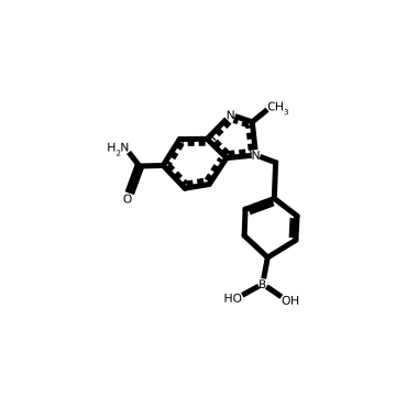 Cc1nc2cc(C(N)=O)ccc2n1CC1=CCC(B(O)O)C=C1